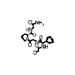 NC(=O)CNC(=O)[C@@H]1CCCN1C(=O)CNC(=O)[C@H](NC(=O)C[O])c1ccccc1